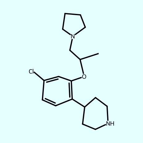 CC(CN1CCCC1)Oc1cc(Cl)ccc1C1CCNCC1